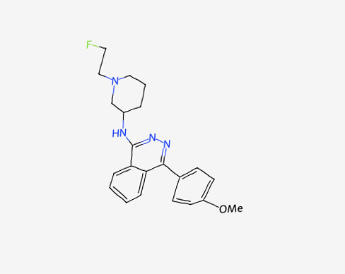 COc1ccc(-c2nnc(NC3CCCN(CCF)C3)c3ccccc23)cc1